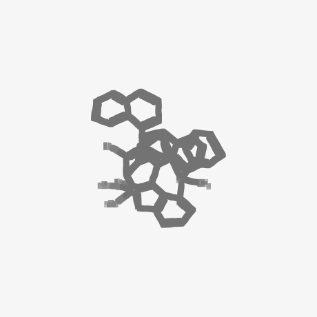 CCC[CH2][Ti]1([CH2]CCC)[CH]2C(CC)=C(c3cccc4ccccc34)c3c2cccc3[Si](C)(c2ccccc2)c2cccc3c2C(c2cccc4ccccc24)=C(CC)[CH]31